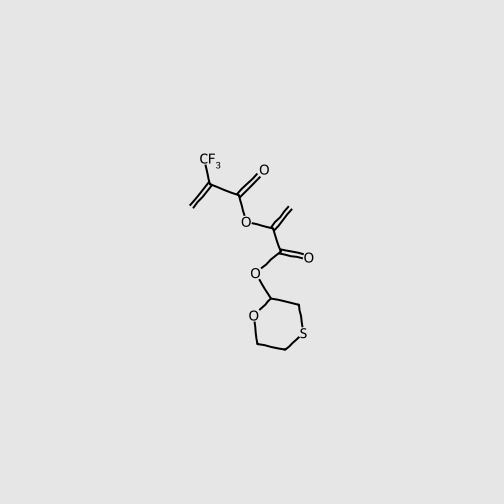 C=C(OC(=O)C(=C)C(F)(F)F)C(=O)OC1CSCCO1